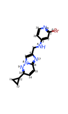 Brc1cc(NCc2cn3nc(C4CC4)ccc3n2)ccn1